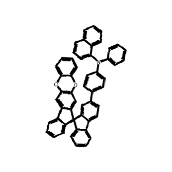 c1ccc(N(c2ccc(-c3ccc4c(c3)C3(c5ccccc5-4)c4ccccc4-c4cc5c(cc43)Oc3ccccc3O5)cc2)c2cccc3ccccc23)cc1